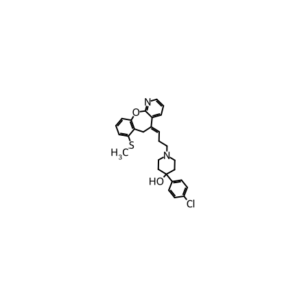 CSc1cccc2c1CC(=CCCN1CCC(O)(c3ccc(Cl)cc3)CC1)c1cccnc1O2